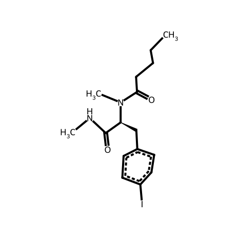 CCCCC(=O)N(C)[C@@H](Cc1ccc(I)cc1)C(=O)NC